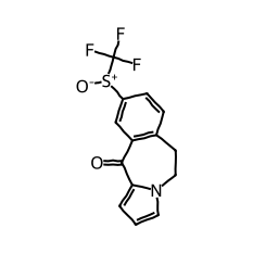 O=C1c2cc([S+]([O-])C(F)(F)F)ccc2CCn2cccc21